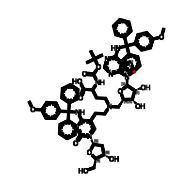 COc1ccc(C(Nc2nc(=O)n([C@@H]3C[C@H](O)[C@@H](CO)O3)cc2CCN(CCC(NC(=O)OC(C)(C)C)C(=O)O)C[C@H]2O[C@@H](n3cnc4c(NC(c5ccccc5)(c5ccccc5)c5ccc(OC)cc5)ncnc43)[C@H](O)[C@@H]2O)(c2ccccc2)c2ccccc2)cc1